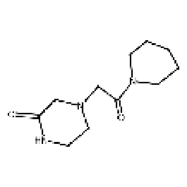 O=C1CN(CC(=O)N2CCCCC2)CCN1